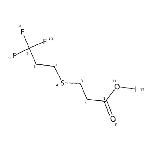 O=C(CCSCCC(F)(F)F)OI